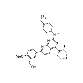 COc1ccc(-c2ccc3c(N4CCOC[C@@H]4C)nc(N(C)C4CCN(CC(F)(F)F)CC4)nc3n2)cc1CO